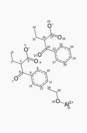 CCC(C(=O)[O-])C(=O)c1ccccc1.CCC(C(=O)[O-])C(=O)c1ccccc1.CC[O][Al+2]